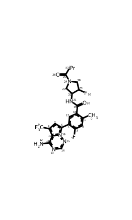 Cc1cc(F)c(-c2cc(C(F)(F)F)c3c(N)ncnn23)cc1C(=O)NC1CN(C(=O)C(C)C)CC1F